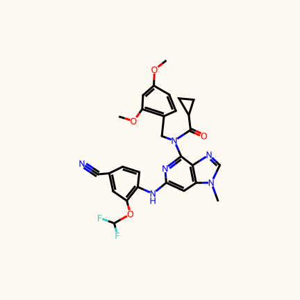 COc1ccc(CN(C(=O)C2CC2)c2nc(Nc3ccc(C#N)cc3OC(F)F)cc3c2ncn3C)c(OC)c1